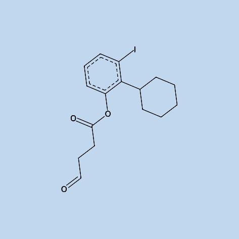 O=CCCC(=O)Oc1cccc(I)c1C1CCCCC1